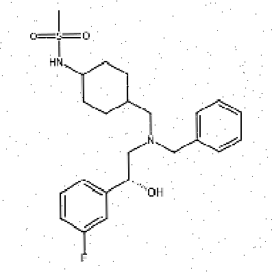 CS(=O)(=O)NC1CCC(CN(Cc2ccccc2)C[C@H](O)c2cccc(F)c2)CC1